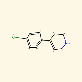 Clc1ccc(C2=CC[N]CC2)cc1